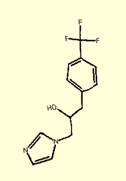 OC(Cc1ccc(C(F)(F)F)cc1)Cn1ccnc1